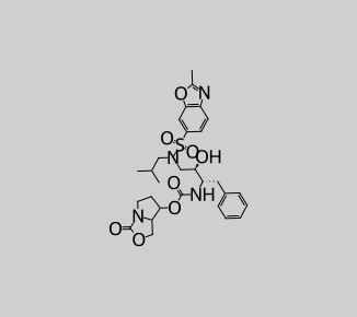 Cc1nc2ccc(S(=O)(=O)N(CC(C)C)C[C@@H](O)[C@H](Cc3ccccc3)NC(=O)OC3CCN4C(=O)OCC34)cc2o1